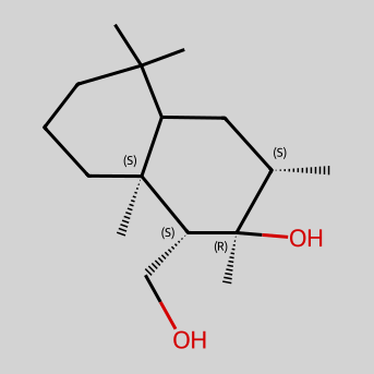 C[C@H]1CC2C(C)(C)CCC[C@]2(C)[C@@H](CO)[C@]1(C)O